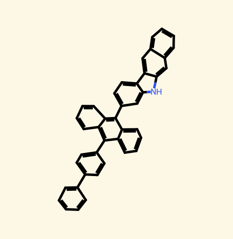 c1ccc(-c2ccc(-c3c4ccccc4c(-c4ccc5c(c4)[nH]c4cc6ccccc6cc45)c4ccccc34)cc2)cc1